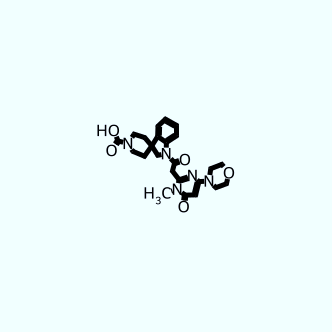 Cn1c(CC(=O)N2CC3(CCN(C(=O)O)CC3)c3ccccc32)nc(N2CCOCC2)cc1=O